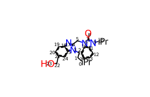 CC(C)CCn1c(Cn2c(=O)n(C(C)C)c3ccccc32)nc2ccc(CO)cc21